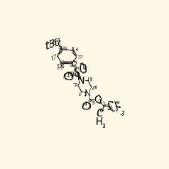 CC(OC(=O)N1CCN(S(=O)(=O)c2ccc(C(C)(C)C)cc2)CC1)C(F)(F)F